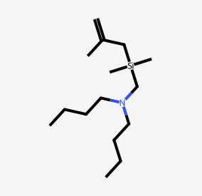 C=C(C)C[Si](C)(C)CN(CCCC)CCCC